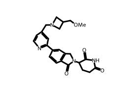 COCC1CN(Cc2ccnc(-c3ccc4c(c3)CN(C3CCC(=O)NC3=O)C4=O)c2)C1